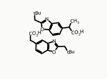 CC(C(=O)O)c1ccc2oc(CC(C)(C)C)nc2c1.CC(C)(C)Cc1nc2cc(CC(=O)O)ccc2o1